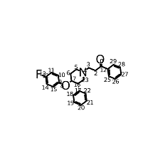 O=C(CCN1CC[C@H](Oc2ccc(F)cc2)[C@@H](c2ccccc2)C1)c1ccccc1